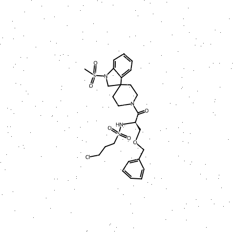 CS(=O)(=O)N1CC2(CCN(C(=O)[C@@H](COCc3ccccc3)NS(=O)(=O)CCCCl)CC2)c2ccccc21